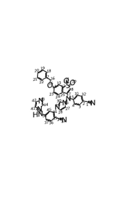 N#Cc1ccc(N(C2=CS(=O)(=O)c3cc(OCc4ccccc4)ccc32)n2ccnc2)cc1.N#Cc1ccc(Nn2ccnc2)cc1